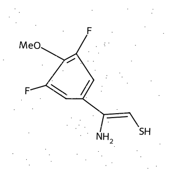 COc1c(F)cc(/C(N)=C/S)cc1F